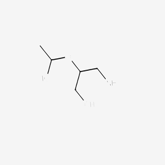 CC(O)OC(CN)CO